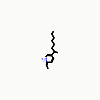 C\C=C(/C=C\C(N)=C/C)C(C)CCCCCC